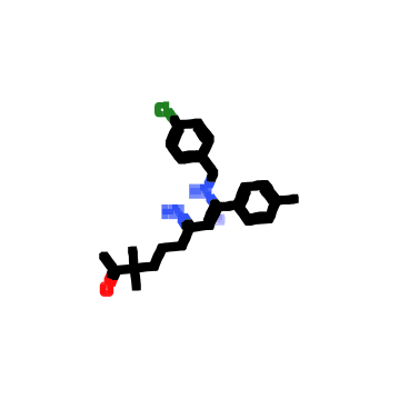 CC(=O)C(C)(C)CCCC(=N)/C=C(\NCc1ccc(Cl)cc1)c1ccc(C)cc1